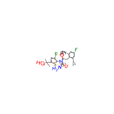 CC(C)c1cc(F)cc(C2CC2)c1CC(=O)N(c1sc(C(C)(C)O)cc1F)[S@+](N)[O-]